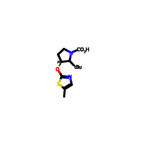 Cc1cnc(O[C@@H]2CCN(C(=O)O)C2C(C)(C)C)s1